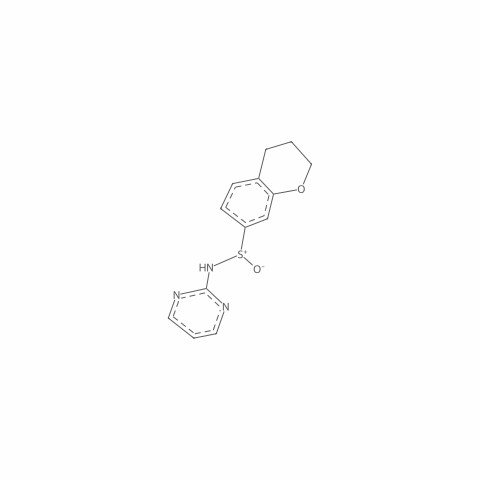 [O-][S+](Nc1ncccn1)c1ccc2c(c1)OCCC2